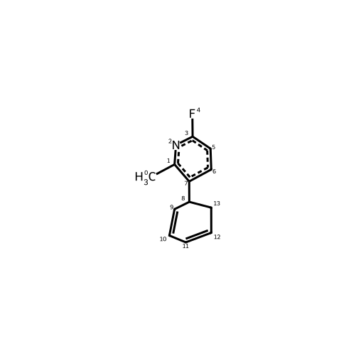 Cc1nc(F)ccc1C1C=CC=CC1